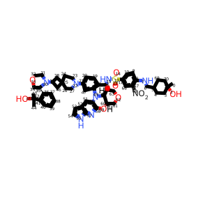 CC1(O)CCC(CNc2ccc(S(=O)(=O)NC(=O)c3ccc(N4CCC5(CC4)CC(N4CCOC[C@H]4c4ccccc4C(C)(C)O)C5)cc3N3c4cc5cc[nH]c5nc4O[C@H]4COCC[C@@H]43)cc2[N+](=O)[O-])CC1